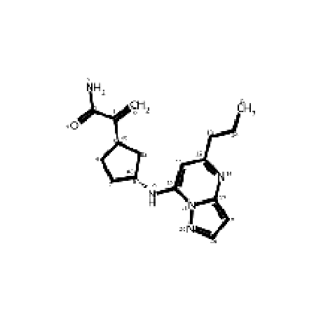 C=C(C(N)=O)[C@@H]1CC[C@@H](Nc2cc(CCC)nc3ccnn23)C1